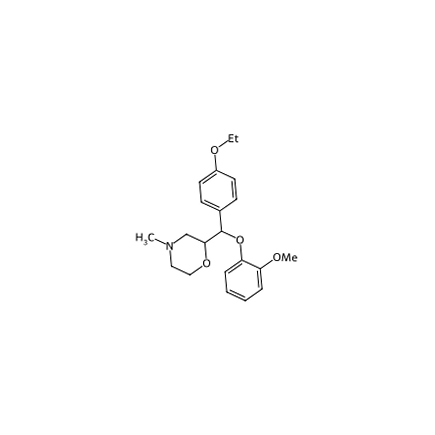 CCOc1ccc(C(Oc2ccccc2OC)C2CN(C)CCO2)cc1